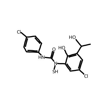 CC(O)c1cc(Cl)cc(N(S)C(=O)Nc2ccc(Cl)cc2)c1O